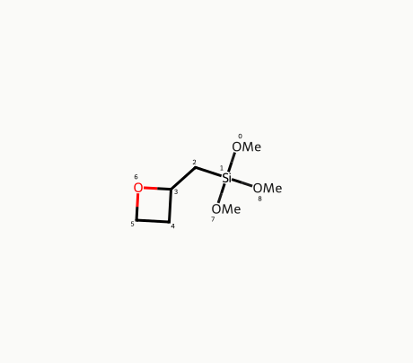 CO[Si](CC1CCO1)(OC)OC